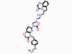 COc1ccc(CN2C(=O)COc3ccc(N4C[C@H](CCNCC5Cc6cccc7ncc(=O)n5c67)OC4=O)nc32)cc1